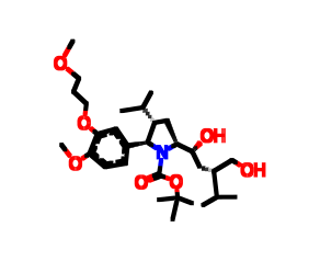 COCCCOc1cc([C@H]2[C@H](C(C)C)C[C@@H]([C@@H](O)C[C@H](CO)C(C)C)N2C(=O)OC(C)(C)C)ccc1OC